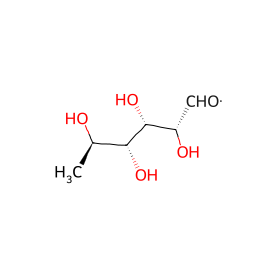 C[C@@H](O)[C@@H](O)[C@H](O)[C@@H](O)[C]=O